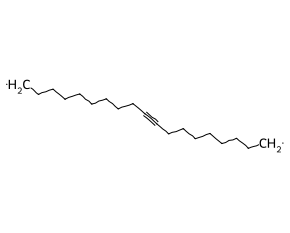 [CH2]CCCCCCCC#CCCCCCCCC[CH2]